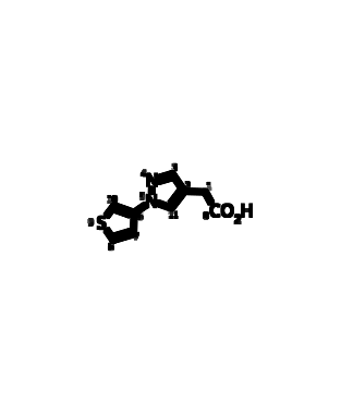 O=C(O)Cc1cnn(-c2ccsc2)c1